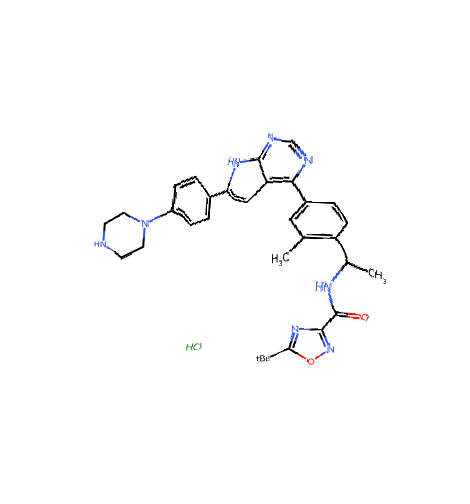 Cc1cc(-c2ncnc3[nH]c(-c4ccc(N5CCNCC5)cc4)cc23)ccc1C(C)NC(=O)c1noc(C(C)(C)C)n1.Cl